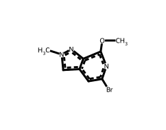 COc1nc(Br)cc2cn(C)nc12